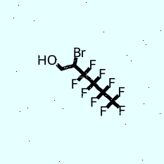 OCC(Br)C(F)(F)C(F)(F)C(F)(F)C(F)(F)F